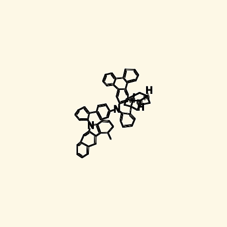 CC1CC=Cc2c1c1cc3ccccc3cc1n2-c1ccccc1-c1ccc(N(c2ccc3c4ccccc4c4ccccc4c3c2)c2ccccc2C23CC4C[C@@H]5CC(C2)[C@]3(C)[C@H]45)cc1